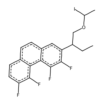 CCC(COC(C)I)c1cc2ccc3ccc(F)c(F)c3c2c(F)c1F